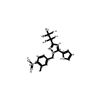 Cc1cc(Cn2nc(C(F)(F)C(F)(F)F)nc2-c2ccco2)ccc1[N+](=O)[O-]